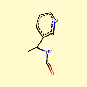 CC(NC=O)c1cccnc1